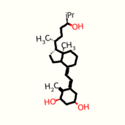 C=C1/C(=C\C=C2CCC[C@@]3(C)C2CC[C@@H]3[C@H](C)CC[C@H](O)C(C)C)C[C@@H](O)C[C@H]1O